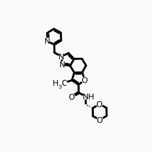 Cc1c(C(=O)NC[C@H]2COCCO2)oc2c1-c1nn(Cc3ccccn3)cc1CC2